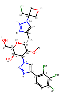 CO[C@@H]1[C@@H](n2cc(-c3ccc(F)c(F)c3F)nn2)[C@@H](O)[C@@H](CO)O[C@@H]1Cc1cn(C2(CF)COC2)nn1